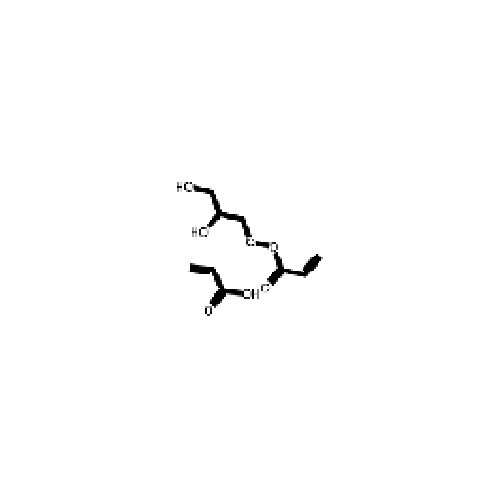 C=CC(=O)O.C=CC(=O)OOCC(O)CO